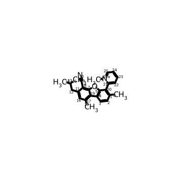 Cc1ccc2c(oc3c(C#N)c(CC(C)C)cc(C)c32)c1-c1cccc[n+]1C